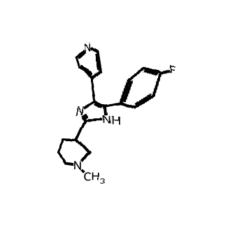 CN1CCCC(c2nc(-c3ccncc3)c(-c3ccc(F)cc3)[nH]2)C1